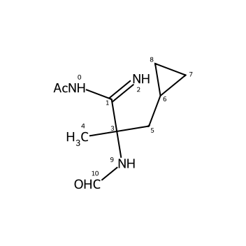 CC(=O)NC(=N)C(C)(CC1CC1)NC=O